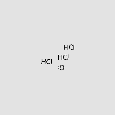 Cl.Cl.Cl.[O]